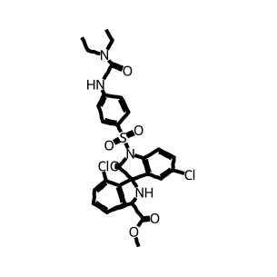 CCN(CC)C(=O)Nc1ccc(S(=O)(=O)N2C(=O)C(NC(C)C(=O)OC)(c3ccccc3Cl)c3cc(Cl)ccc32)cc1